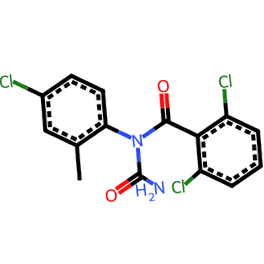 Cc1cc(Cl)ccc1N(C(N)=O)C(=O)c1c(Cl)cccc1Cl